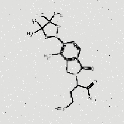 Cc1c(B2OC(C)(C)C(C)(C)O2)ccc2c1CN(C(CCC(=O)O)C(N)=O)C2=O